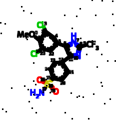 COc1c(Cl)cc(-c2[nH]c(C(F)(F)F)nc2-c2ccc(S(N)(=O)=O)cc2)cc1Cl